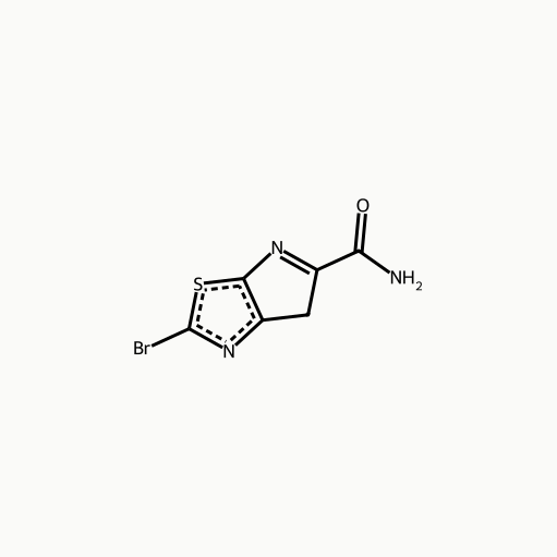 NC(=O)C1=Nc2sc(Br)nc2C1